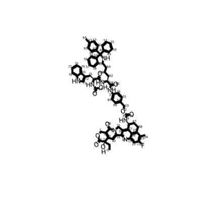 CC[C@@]1(O)C(=O)OCc2c1cc1n(c2=O)Cc2c-1nc1cc(F)c(C)c3c1c2[C@@H](NC(=O)OCc1ccc(NC(=O)[C@H](CCCCNC(c2ccccc2)(c2ccccc2)c2ccc(C)cc2)NC(=O)[C@H](Cc2c[nH]c4ccccc24)NC(=O)O)cc1)CC3